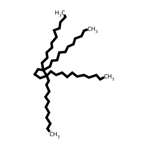 CCCCCCCCCCCC1(CCCCCCCCCCC)CCCC1(CCCCCCCCCCC)CCCCCCCCCCC